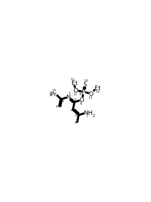 C=C(/N=C(\C=C(\C)N)OP(=S)(OCC)OCC)C(C)C